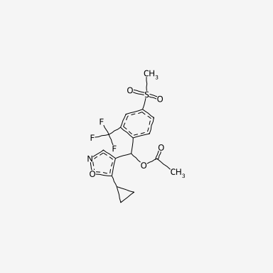 CC(=O)OC(c1ccc(S(C)(=O)=O)cc1C(F)(F)F)c1cnoc1C1CC1